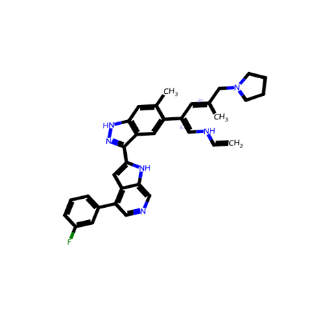 C=CN/C=C(\C=C(/C)CN1CCCC1)c1cc2c(-c3cc4c(-c5cccc(F)c5)cncc4[nH]3)n[nH]c2cc1C